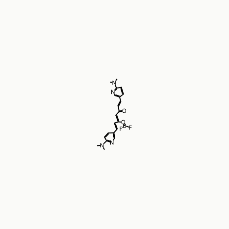 CN(C)c1ccc(/C=C/C(=O)/C=C(/C=C/c2ccc(N(C)C)nc2)OB(F)F)cn1